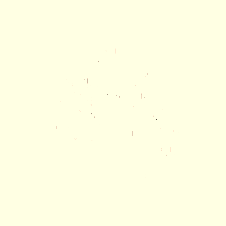 COc1cc(C(=O)N2CCN(C(=O)C(C)(C)c3ccccc3)CC2)ccc1NS(=O)(=O)c1cccc2cccnc12